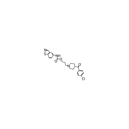 O=C(Nc1ccc2sncc2c1)OCCCN1CCC(C(=O)c2ccc(Cl)cc2)CC1